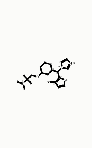 C[SiH](C)C(C)(C)COC1CCCC(C(c2sccc2Br)n2ccnc2)C1